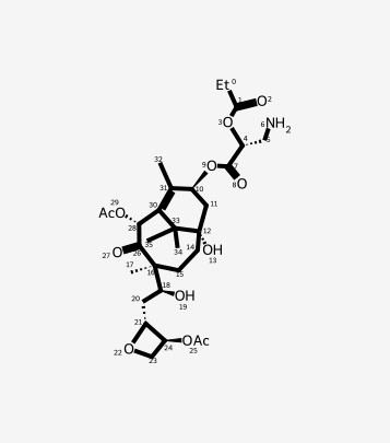 CCC(=O)O[C@H](CN)C(=O)O[C@H]1C[C@@]2(O)CC[C@@](C)([C@@H](O)C[C@H]3OC[C@@H]3OC(C)=O)C(=O)[C@H](OC(C)=O)C(=C1C)C2(C)C